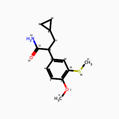 COc1ccc(C(CC2CC2)C(N)=O)cc1SC